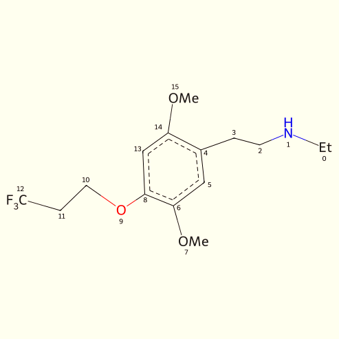 CCNCCc1cc(OC)c(OCCC(F)(F)F)cc1OC